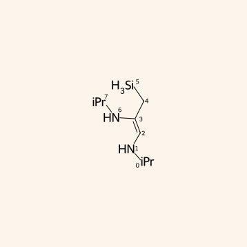 CC(C)NC=C(C[SiH3])NC(C)C